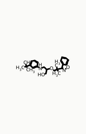 CC(C)(C)c1cccc(NCC(CO)OCC(C)(C)c2noc3ccccc23)c1